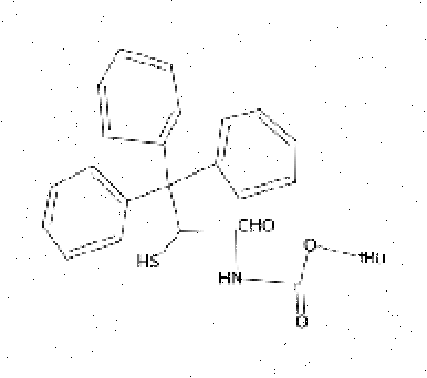 CC(C)(C)OC(=O)NC(C=O)C(S)C(c1ccccc1)(c1ccccc1)c1ccccc1